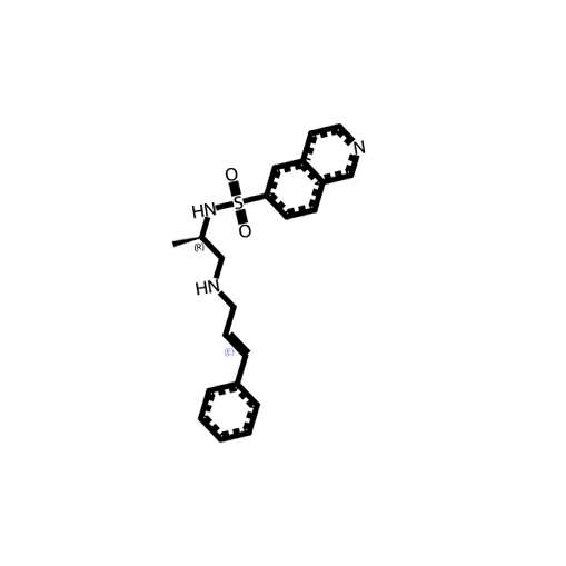 C[C@H](CNC/C=C/c1ccccc1)NS(=O)(=O)c1ccc2cnccc2c1